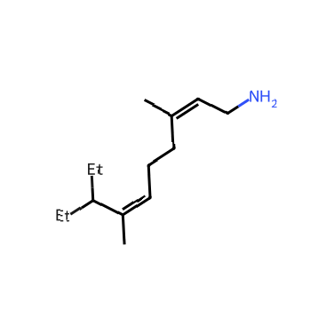 CCC(CC)C(C)=CCC/C(C)=C\CN